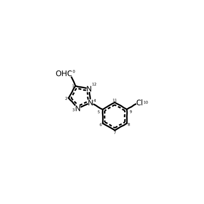 O=Cc1cnn(-c2cccc(Cl)c2)n1